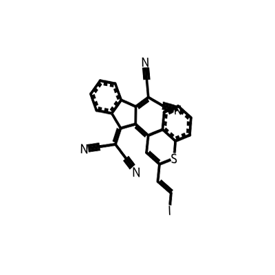 N#CC(C#N)=C1C(=C2C=C(/C=C/I)Sc3ccccc32)C(=C(C#N)C#N)c2ccccc21